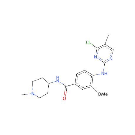 COc1cc(C(=O)NC2CCN(C)CC2)ccc1Nc1ncc(C)c(Cl)n1